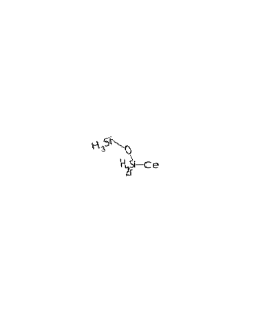 [SiH3]O[SiH2][Ce].[Zr]